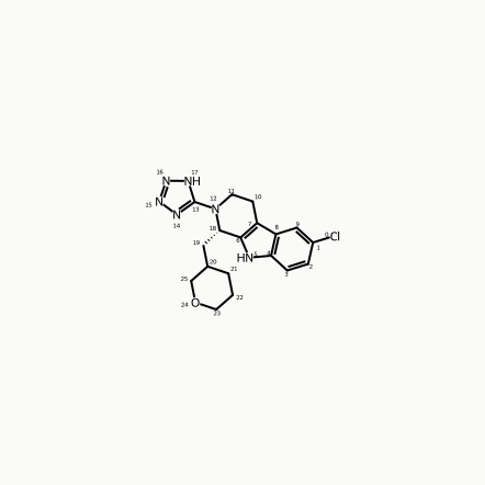 Clc1ccc2[nH]c3c(c2c1)CCN(c1nnn[nH]1)[C@H]3CC1CCCOC1